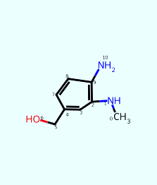 CNc1cc(CO)ccc1N